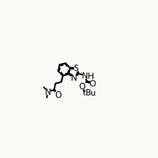 CN(C)C(=O)CCc1cccc2sc(NC(=O)OC(C)(C)C)nc12